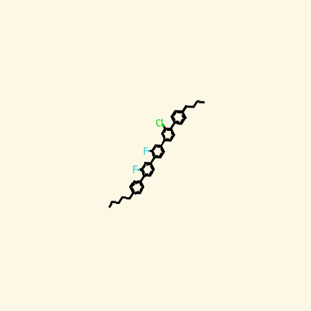 CCCCCc1ccc(-c2ccc(-c3ccc(-c4ccc(-c5ccc(CCCC)cc5)c(Cl)c4)cc3F)cc2F)cc1